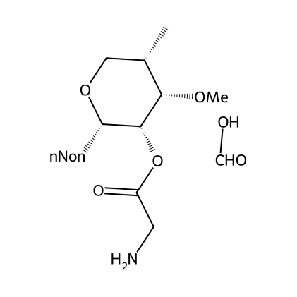 CCCCCCCCC[C@@H]1OC[C@H](C)[C@H](OC)[C@@H]1OC(=O)CN.O=CO